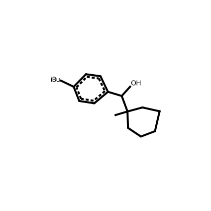 CCC(C)c1ccc(C(O)C2(C)CCCCC2)cc1